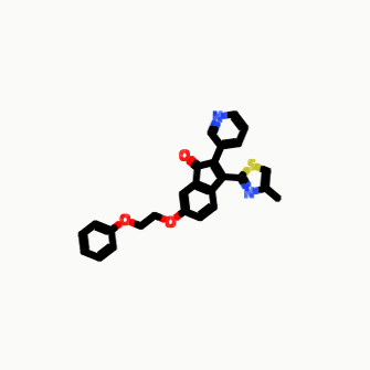 Cc1csc(C2=C(c3cccnc3)C(=O)c3cc(OCCOc4ccccc4)ccc32)n1